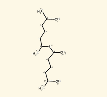 CC(O)CCCC(C)SC(C)CCCC(C)O